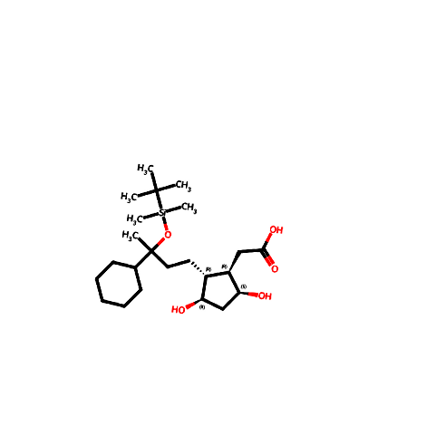 CC(CC[C@@H]1[C@@H](CC(=O)O)[C@@H](O)C[C@H]1O)(O[Si](C)(C)C(C)(C)C)C1CCCCC1